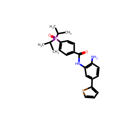 CC(C)P(=O)(c1ccc(C(=O)Nc2cc(-c3cccs3)ccc2N)cc1)C(C)C